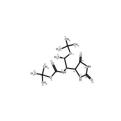 C[C@@H](OC(C)(C)C)[C@H](NC(=O)OC(C)(C)C)C1NC(=O)NC1=O